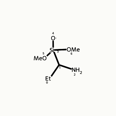 CCC(N)[Si]([O])(OC)OC